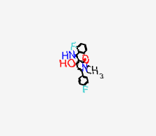 Cn1c(-c2ccc(F)cc2)cc(O)c(C(=N)c2ccccc2F)c1=O